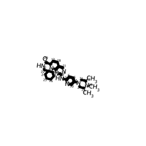 C[C@@H]1CN(c2ccc(Nc3ncc4c(n3)N3C(C=C4)C(=O)NCC34CCCCC4)nc2)C[C@H](C)N1C